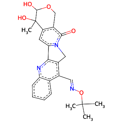 CC(C)(C)O/N=C/c1c2c(nc3ccccc13)-c1cc3c(c(=O)n1C2)COC(O)C3(C)O